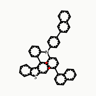 c1ccc(N(c2ccc(-c3ccc4ccccc4c3)cc2)c2ccc(-c3cccc4ccccc34)cc2)c(-c2cccc3sc4ccccc4c23)c1